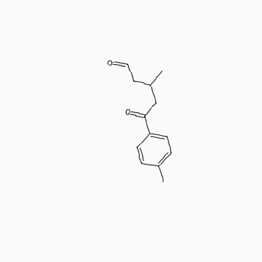 Cc1ccc(C(=O)CC(C)CC=O)cc1